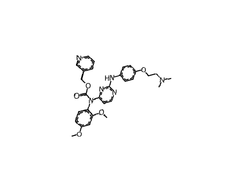 COc1ccc(N(C(=O)OCc2cccnc2)c2ccnc(Nc3ccc(OCCN(C)C)cc3)n2)c(OC)c1